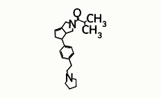 CC(C)C(=O)N1CC2=CCC(c3ccc(CCN4CCCC4)cc3)C2C1